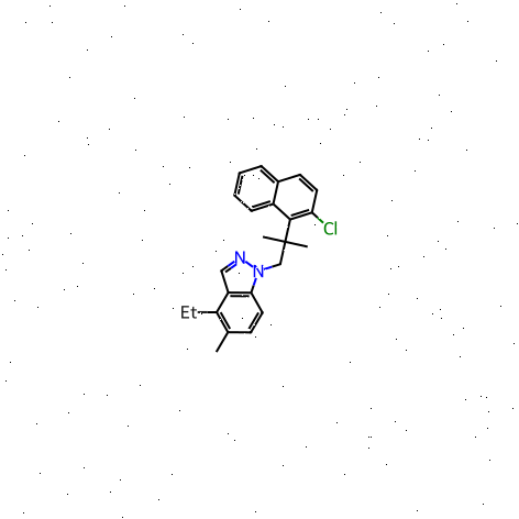 CCc1c(C)ccc2c1cnn2CC(C)(C)c1c(Cl)ccc2ccccc12